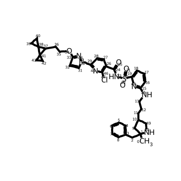 CC1(Cc2ccccc2)CC(CCCNc2cccc(S(=O)(=O)NC(=O)c3ccc(-n4ccc(OCCC5C6(CC6)C56CC6)n4)nc3Cl)n2)CN1